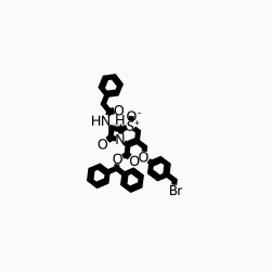 O=C(Cc1ccccc1)N[C@@H]1C(=O)N2C(C(=O)OC(c3ccccc3)c3ccccc3)=C(COc3ccc(CBr)cc3)C[S+]([O-])[C@H]12